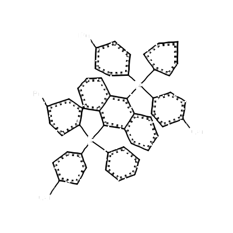 CC(C)(C)c1ccc([Si](c2ccccc2)(c2ccc(C(C)(C)C)cc2)c2c3ccccc3c([Si](c3ccccc3)(c3ccc(C(C)(C)C)cc3)c3ccc(C(C)(C)C)cc3)c3ccccc23)cc1